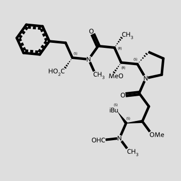 CC[C@H](C)[C@@H](C(CC(=O)N1CCC[C@H]1[C@H](OC)[C@@H](C)C(=O)N(C)[C@@H](Cc1ccccc1)C(=O)O)OC)N(C)C=O